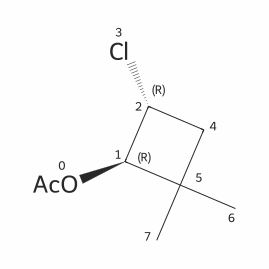 CC(=O)O[C@H]1[C@H](Cl)CC1(C)C